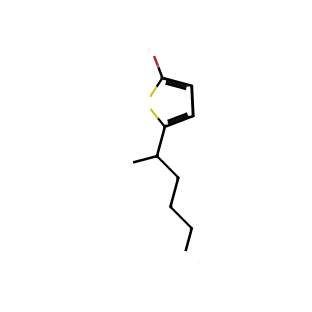 CCCCC(C)c1ccc(Br)s1